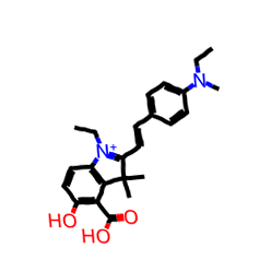 CCN(C)c1ccc(/C=C/C2=[N+](CC)c3ccc(O)c(C(=O)O)c3C2(C)C)cc1